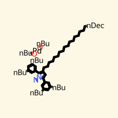 CCCCCCCCCCCCCCCCCCCCCCCCCCCC1=C(c2cc(CCCC)cc(CCCC)c2)[N+](=[N-])C(c2cc(CCCC)cc(CCCC)c2)=C1.CCCC[O][Pd][O]CCCC